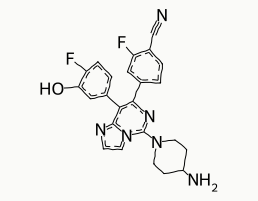 N#Cc1ccc(-c2nc(N3CCC(N)CC3)n3ccnc3c2-c2ccc(F)c(O)c2)cc1F